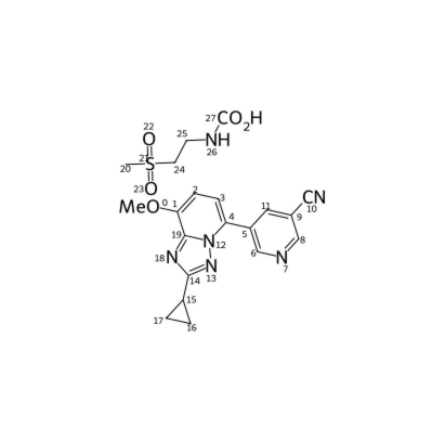 COc1ccc(-c2cncc(C#N)c2)n2nc(C3CC3)nc12.CS(=O)(=O)CCNC(=O)O